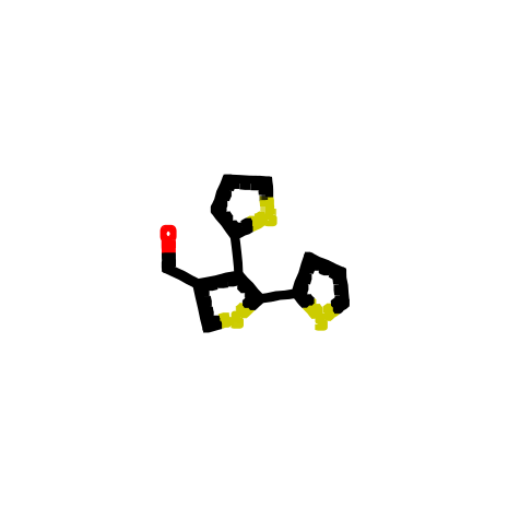 O=Cc1csc(-c2cccs2)c1-c1cccs1